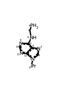 CC(C)n1cnc2c(NCP)ncnc21